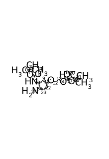 CC(C)(C)OC(=O)Nc1cc(OCCOC(=O)OC(C)(C)C)ccc1N